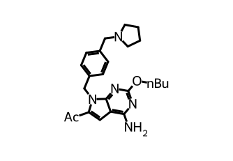 CCCCOc1nc(N)c2cc(C(C)=O)n(Cc3ccc(CN4CCCC4)cc3)c2n1